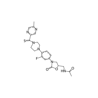 CC(=O)NCC1CN(c2ccc(N3CCN(C(=S)c4cnc(C)cn4)CC3)c(F)c2)C(=O)O1